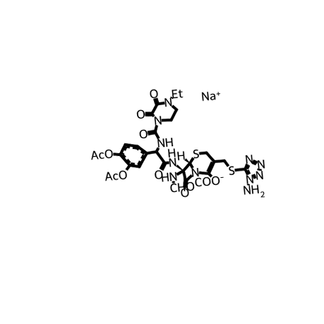 CCN1CCN(C(=O)NC(C(=O)N[C@]2(NC=O)C(=O)N3C(C(=O)[O-])=C(CSc4nnnn4N)CS[C@H]32)c2ccc(OC(C)=O)c(OC(C)=O)c2)C(=O)C1=O.[Na+]